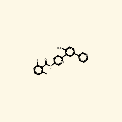 Cc1ccc(-c2cccnc2)cc1-c1ccc(NC(=O)c2c(F)cccc2F)cn1